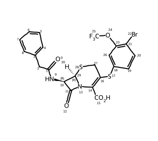 O=C(Cc1ccccc1)N[C@@H]1C(=O)N2C(C(=O)O)=C(Sc3ccc(Br)c(OC(F)(F)F)c3)CS[C@H]12